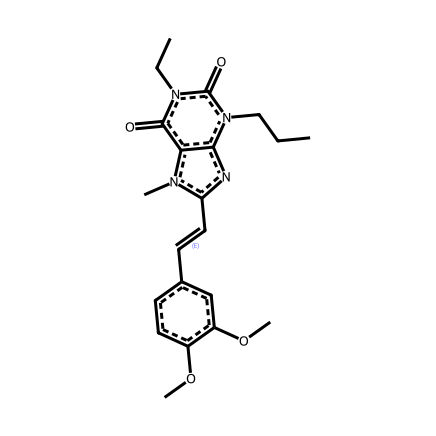 CCCn1c(=O)n(CC)c(=O)c2c1nc(/C=C/c1ccc(OC)c(OC)c1)n2C